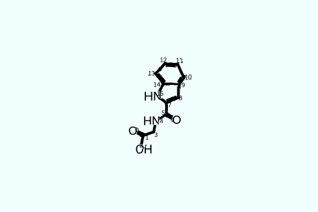 O=C(O)CNC(=O)c1cc2ccccc2[nH]1